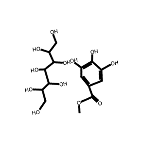 COC(=O)c1cc(O)c(O)c(O)c1.OCC(O)C(O)C(O)C(O)C(O)CO